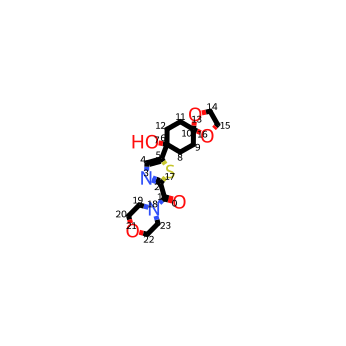 O=C(c1ncc(C2(O)CCC3(CC2)OCCO3)s1)N1CCOCC1